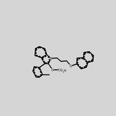 Cc1ccccc1-c1c(OC(=O)O)n(CCCOc2ccc3ccccc3c2)c2ccccc12